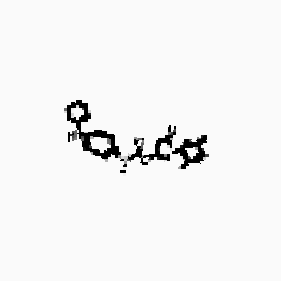 Cc1ccc(C)c(N2CC(OC(=O)Nc3ccc(Nc4ccccc4)cc3)CC2=O)c1